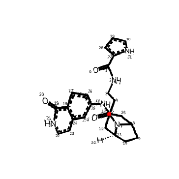 O=C(NCCC(=O)N1C2CC[C@H]1CC(Nc1ccc3c(=O)[nH]ccc3c1)C2)c1ccc[nH]1